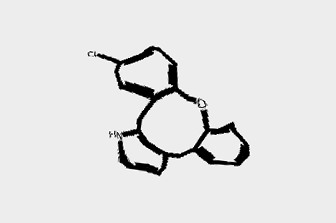 Clc1ccc2c(c1)-c1[nH]ccc1-c1ccccc1O2